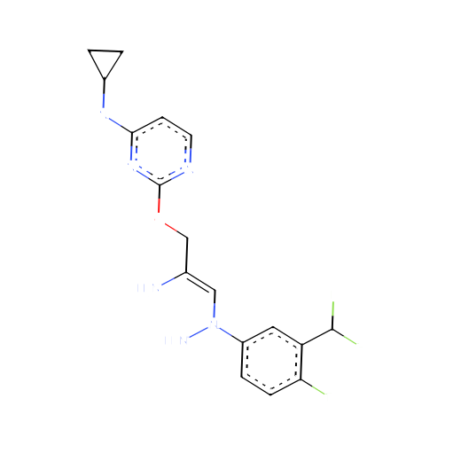 N/C(=C\N(N)c1ccc(F)c(C(F)F)c1)COc1nccc(NC2CC2)n1